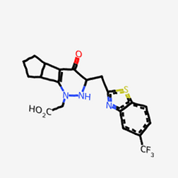 O=C(O)CN1NC(Cc2nc3cc(C(F)(F)F)ccc3s2)C(=O)C2=C1C1CCCC21